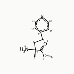 COC(=O)[C@](C)(N)CCc1ccccc1